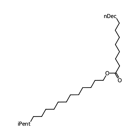 CCCCCCCCCCCCCCCCCC(=O)OCCCCCCCCCCCCC(C)CCC